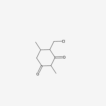 CC1C(=O)CC(C)C(CCl)C1=O